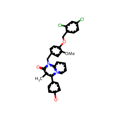 COc1cc(Cn2c(=O)c(C)c(-c3ccc([O-])cc3)[n+]3ccccc23)ccc1OCc1ccc(Cl)cc1Cl